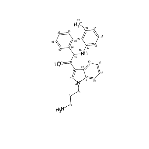 C=C(c1cn(CCCN)c2ccccc12)C(Nc1cccc(C)c1)c1ccccc1